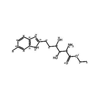 CCOC(=O)C(N)C(O)C(O)CCc1nc2ccc(C)cc2[nH]1